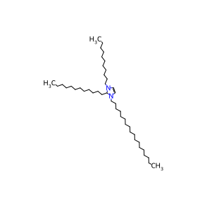 CCCCCCCCCCCCCCCCCCN1C=CN(CCCCCCCCCCC)C1CCCCCCCCCCCC